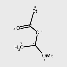 [CH2]CC(=O)OC(C)OC